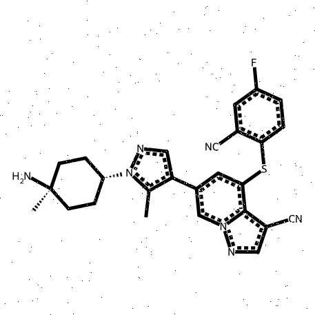 Cc1c(-c2cc(Sc3ccc(F)cc3C#N)c3c(C#N)cnn3c2)cnn1[C@H]1CC[C@](C)(N)CC1